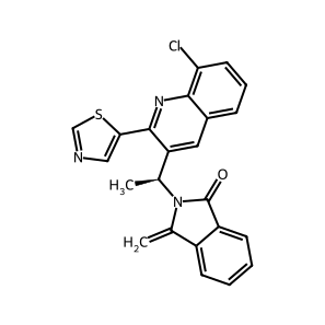 C=C1c2ccccc2C(=O)N1[C@@H](C)c1cc2cccc(Cl)c2nc1-c1cncs1